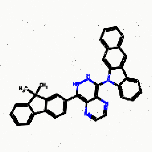 CC1(C)c2ccccc2-c2ccc(C3=c4nccnc4=C(n4c5ccccc5c5cc6ccccc6cc54)NN3)cc21